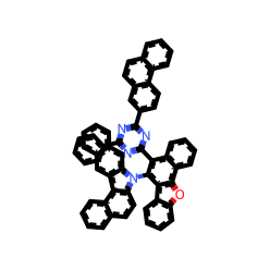 c1ccc(-c2nc(-c3ccc4c(ccc5ccccc54)c3)nc(-c3c(-n4c5cc6ccccc6cc5c5c6ccccc6ccc54)c4c5ccccc5oc4c4ccccc34)n2)cc1